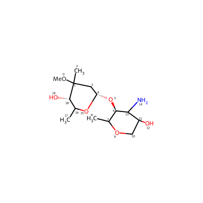 COC1(C)C[C@H](O[C@@H]2C(C)OCC(O)C2N)OC(C)[C@@H]1O